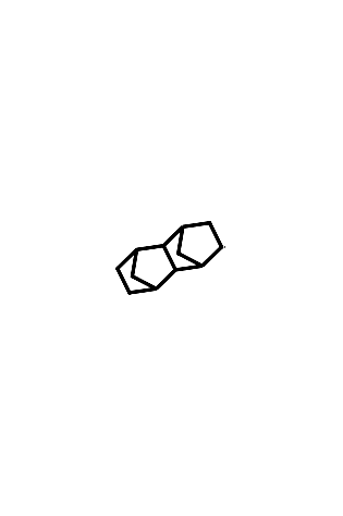 [CH]1CC2CC1C1C3CCC(C3)C21